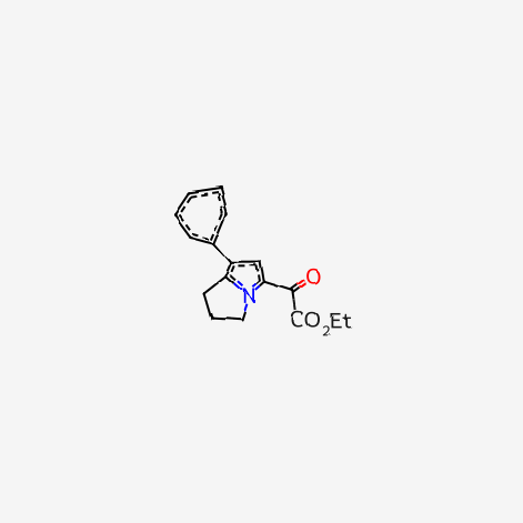 CCOC(=O)C(=O)c1cc(-c2ccccc2)c2n1CCC2